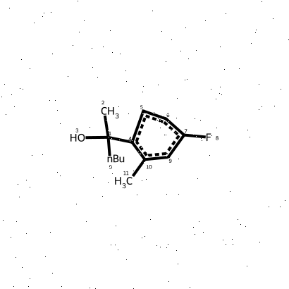 CCCCC(C)(O)c1ccc(F)cc1C